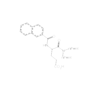 CCCCCN(CCCCC)C(=O)C(CCC(=O)O)NC(=O)c1ccc2ccccc2c1